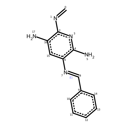 C=Nc1nc(N)c(/N=C/c2ccccc2)cc1N